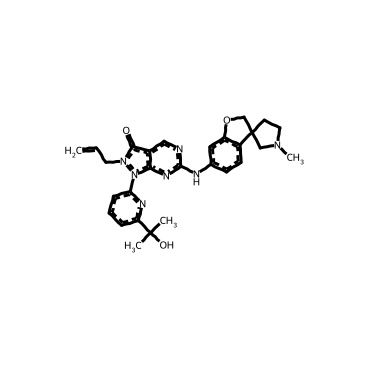 C=CCn1c(=O)c2cnc(Nc3ccc4c(c3)OCC43CCN(C)C3)nc2n1-c1cccc(C(C)(C)O)n1